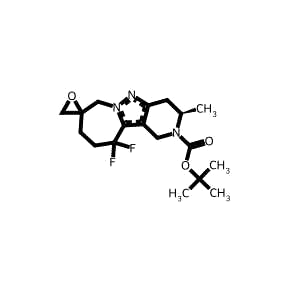 C[C@@H]1Cc2nn3c(c2CN1C(=O)OC(C)(C)C)C(F)(F)CCC1(CO1)C3